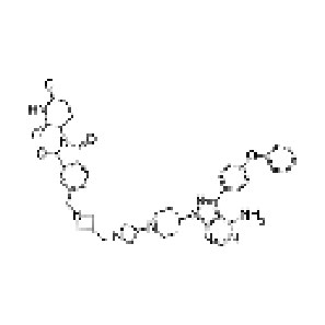 Nc1ncnc2c1c(-c1ccc(Oc3ccccc3)cc1)nn2C1CCN(C2CN(CC3CN(Cc4ccc5c(c4)C(=O)N(C4CCC(=O)NC4=O)C5=O)C3)C2)CC1